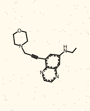 CCNc1cc(C#CCN2CCOCC2)c2nccnc2c1